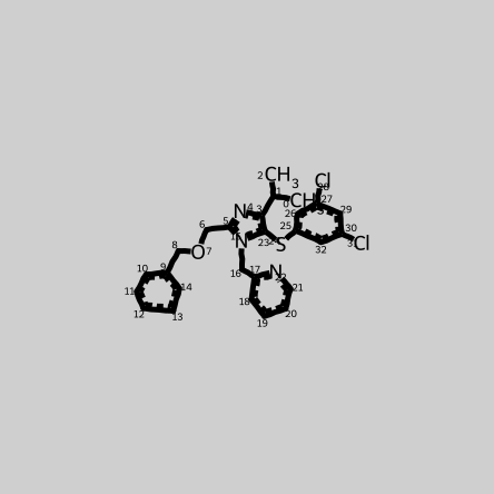 CC(C)c1nc(COCc2ccccc2)n(Cc2ccccn2)c1Sc1cc(Cl)cc(Cl)c1